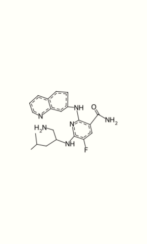 CC(C)CC(CN)Nc1nc(Nc2ccc3cccnc3c2)c(C(N)=O)cc1F